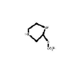 O=C(O)OC1CNCCN1